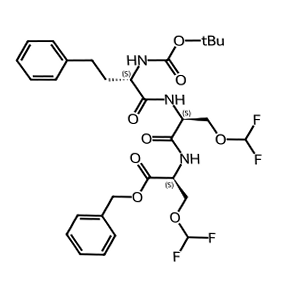 CC(C)(C)OC(=O)N[C@@H](CCc1ccccc1)C(=O)N[C@@H](COC(F)F)C(=O)N[C@@H](COC(F)F)C(=O)OCc1ccccc1